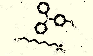 CCCCCCCCS(=O)(=O)[O-].COc1ccc([S+](c2ccccc2)c2ccccc2)cc1